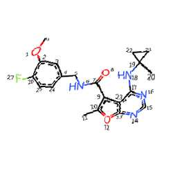 COc1cc(CNC(=O)c2c(C)oc3ncnc(NC4(C)CC4)c23)ccc1F